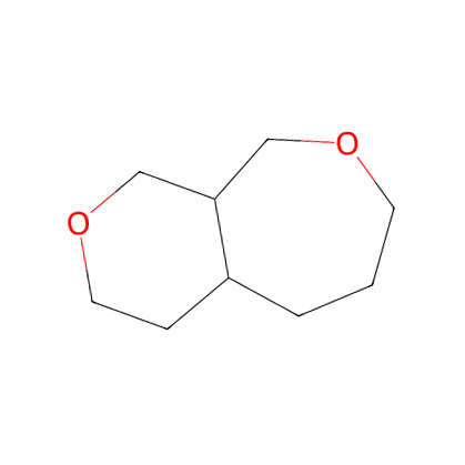 C1COCC2COCCC2C1